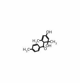 CC1=CC(O)=CC(C)(O)C1C(=O)c1ccc(C)cc1